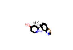 CC1([C@@H]2CC(O)CCN2)C=Cc2scnc2C1